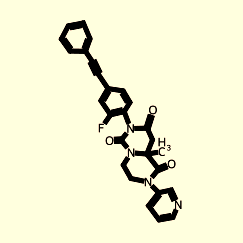 CC12CC(=O)N(c3ccc(C#Cc4ccccc4)cc3F)C(=O)N1CCN(c1cccnc1)C2=O